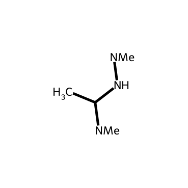 CNNC(C)NC